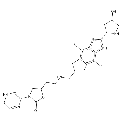 O=C1OC(CCNCC2Cc3c(c(F)c4[nH]c([C@@H]5C[C@@H](O)CN5)nc4c3F)C2)CN1C1=CNCC=N1